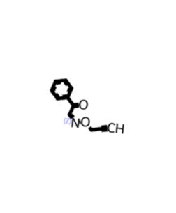 C#CCO/N=C\C(=O)c1ccccc1